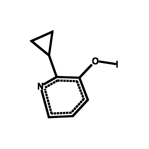 IOc1cccnc1C1CC1